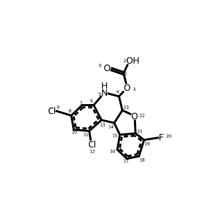 O=C(O)OC1Nc2cc(Cl)cc(Cl)c2C2c3cccc(F)c3OC12